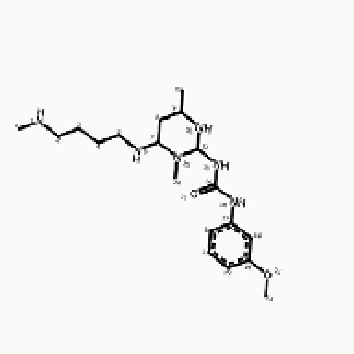 CNCCCCNC1CC(C)NC(NC(=O)Nc2cccc(OC)c2)N1C